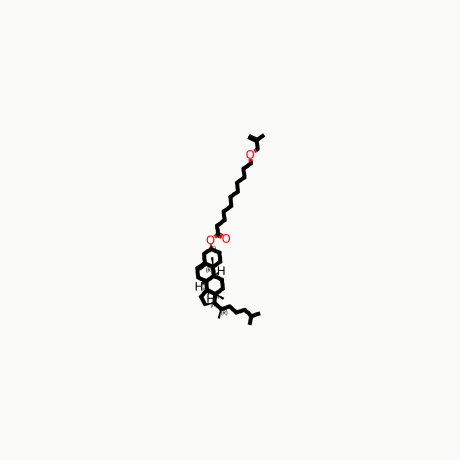 C=C(C)COCCCCCCCCCCC(=O)O[C@H]1CC[C@@]2(C)C(=CC[C@H]3[C@@H]4CC[C@H]([C@H](C)CCCC(C)C)[C@@]4(C)CC[C@@H]32)C1